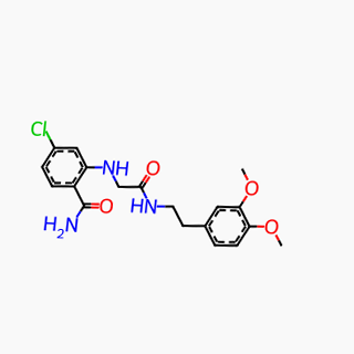 COc1ccc(CCNC(=O)CNc2cc(Cl)ccc2C(N)=O)cc1OC